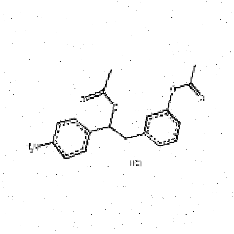 CC(=O)Oc1cccc(CC(OC(C)=O)c2ccc(N)cc2)c1.Cl